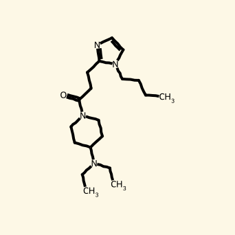 CCCCn1ccnc1CCC(=O)N1CCC(N(CC)CC)CC1